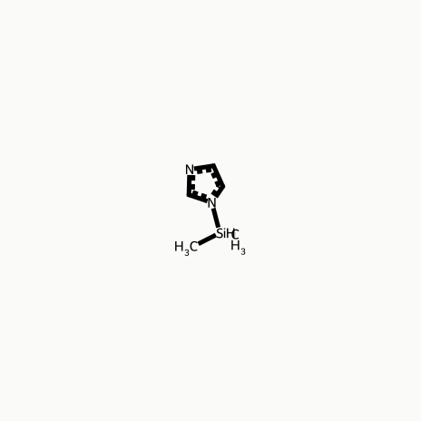 C[SiH](C)n1ccnc1